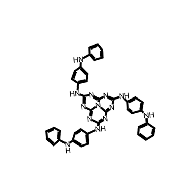 c1ccc(Nc2ccc(NC3=NC4=NC(Nc5ccc(Nc6ccccc6)cc5)=NC5=NC(Nc6ccc(Nc7ccccc7)cc6)=NC(=N3)N45)cc2)cc1